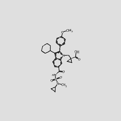 COc1ccc(-c2c(C3CCCCC3)c3ccc(C(=O)NS(=O)(=O)N(C)C4CC4)cc3n2CC2(C(=O)O)CC2)cc1